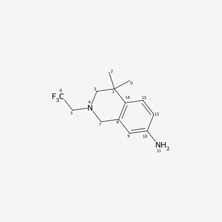 CC1(C)CN(CC(F)(F)F)Cc2cc(N)ccc21